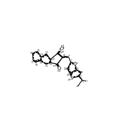 CC(C)c1cc2oc(C=C3C(=O)c4cc5ccccc5cc4C3=O)cc2s1